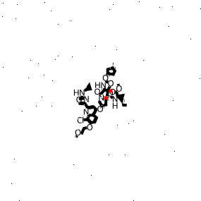 CC[C@@H]1C[C@]1(NC(=O)[C@@H]1C[C@@H](Oc2cc(-c3coc(NC4CC4)n3)nc3c(Cl)c(OCCOC)ccc23)CN1C(=O)[C@@H](NC(=O)O[C@H]1CC[C@@H](C)C1)C(C)(C)C)C(=O)OC